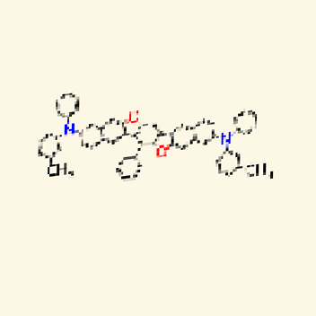 Cc1cccc(N(c2ccccc2)c2ccc3cc4c(cc3c2)oc2c(-c3ccccc3)c3c(cc24)oc2cc4cc(N(c5ccccc5)c5cccc(C)c5)ccc4cc23)c1